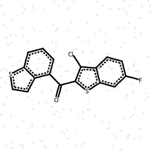 O=C(c1sc2cc(F)ccc2c1Cl)c1cccc2sccc12